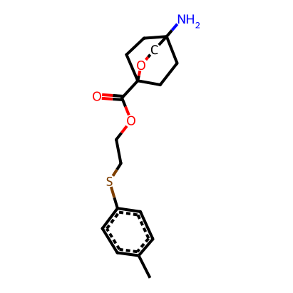 Cc1ccc(SCCOC(=O)C23CCC(N)(CC2)CO3)cc1